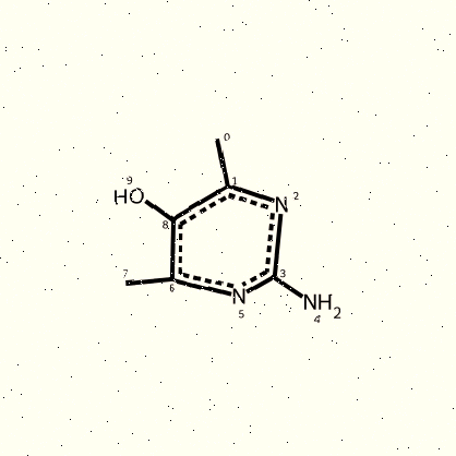 Cc1nc(N)nc(C)c1O